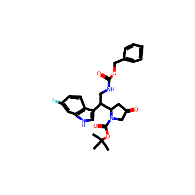 CC(C)(C)OC(=O)N1CC(=O)CC1C(CNC(=O)OCc1ccccc1)c1c[nH]c2cc(F)ccc12